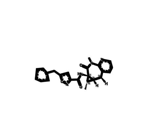 CN1C(=O)[C@]2(NC(=O)c3cc(Cc4ccccc4)on3)[C@@H]3[C@H](c4cccnc41)[C@]32C